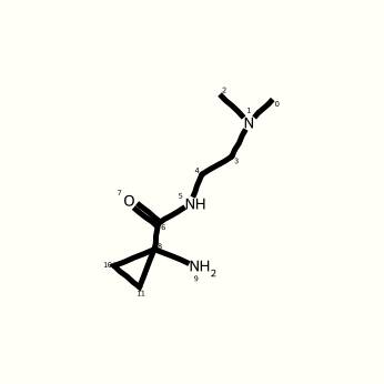 CN(C)CCNC(=O)C1(N)CC1